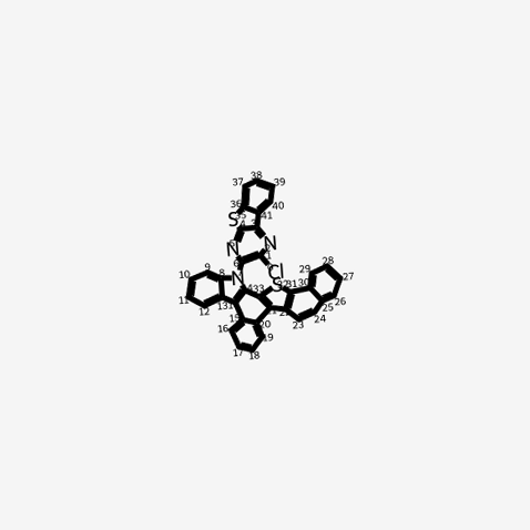 Clc1nc2c(nc1-n1c3ccccc3c3c4ccccc4c4c5ccc6ccccc6c5sc4c31)sc1ccccc12